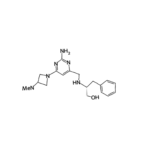 CNC1CN(c2cc(CN[C@@H](CO)Cc3ccccc3)nc(N)n2)C1